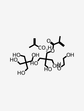 C=C(C)C(=O)O.C=C(C)C(=O)OCC(CO)(CO)CO.OCC(CO)(CO)CO.OCCO